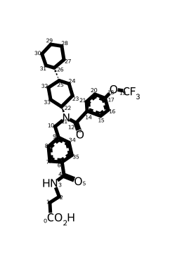 O=C(O)CCNC(=O)c1ccc(CN(C(=O)c2ccc(OC(F)(F)F)cc2)[C@H]2CC[C@@H](C3CCCCC3)CC2)cc1